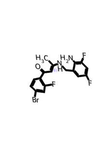 C/C(=C\C(=O)c1ccc(Br)cc1F)NCc1cc(F)cc(F)c1N